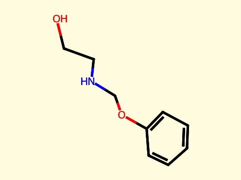 OCCNCOc1ccccc1